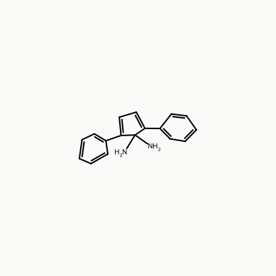 NC1(N)C(c2ccccc2)=CC=C1c1ccccc1